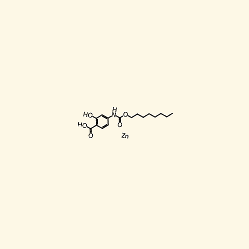 CCCCCCCCOC(=O)Nc1ccc(C(=O)O)c(O)c1.[Zn]